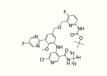 [2H]C([2H])([2H])NC(=O)c1cnc(Cl)cc1Nc1cc(COCc2nc(NC(=O)OC(C)(C)C)ccc2F)cc(-c2ncc(F)cn2)c1OC